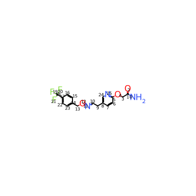 NC(=O)COc1ccc(CC=NOCc2ccc(C(F)(F)F)cc2)cn1